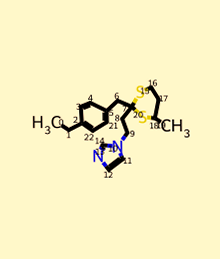 CCc1ccc(CC2(CCn3ccnc3)SCCC(C)S2)cc1